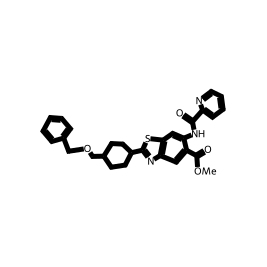 COC(=O)c1cc2nc(C3CCC(COCc4ccccc4)CC3)sc2cc1NC(=O)c1ccccn1